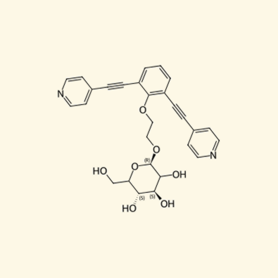 OCC1O[C@@H](OCCOc2c(C#Cc3ccncc3)cccc2C#Cc2ccncc2)C(O)[C@@H](O)[C@@H]1O